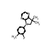 Cc1ccc(N2CC(C)(C)c3nccnc32)cc1F